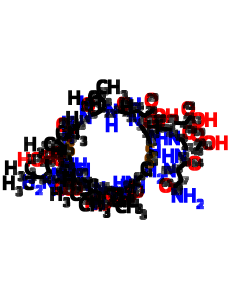 CC(C)C[C@H](NC(=O)[C@@H]1CSSC[C@@H]2NC(=O)[C@H](CC(C)C)NC(=O)[C@H](CCC(=O)O)NC(=O)[C@@H](NC(=O)[C@H](CCC(=O)O)NC(=O)[C@H](CC(=O)O)NC(=O)[C@@H](N)CC(N)=O)CSSCC(NC(=O)[C@H](C)NC(=O)[C@H](C(C)C)NC(=O)[C@H](CC(N)=O)NC(=O)[C@H](C(C)C)NC2=O)C(=O)N[C@@H]([C@@H](C)O)C(=O)NCC(=O)N1)C(=O)O